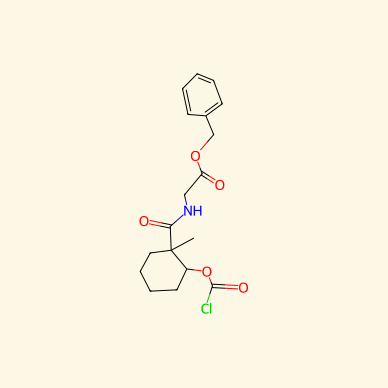 CC1(C(=O)NCC(=O)OCc2ccccc2)CCCCC1OC(=O)Cl